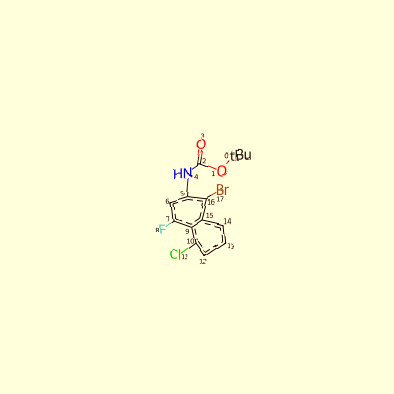 CC(C)(C)OC(=O)Nc1cc(F)c2c(Cl)cccc2c1Br